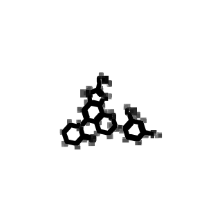 Cc1nc2c3c(c(N4CCCCC4=O)cc2[nH]1)CC[C@@H](c1ccc(F)cc1C)O3